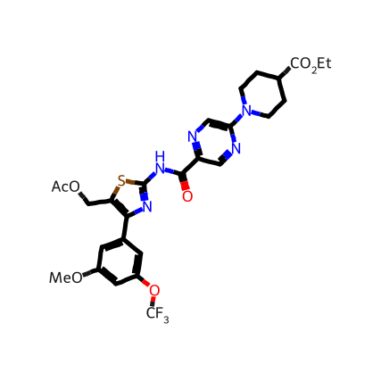 CCOC(=O)C1CCN(c2cnc(C(=O)Nc3nc(-c4cc(OC)cc(OC(F)(F)F)c4)c(COC(C)=O)s3)cn2)CC1